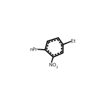 CCCc1ccc(CC)cc1[N+](=O)[O-]